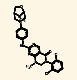 CN1CN(c2c(Cl)cccc2Cl)C(=O)c2cnc(Nc3ccc(N4CC5COC(C4)N5C)cc3)nc21